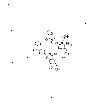 COc1cc2nc(N3CCN(C(=O)C4CCCO4)CC3)nc(N)c2cc1OC.COc1cc2nc(N3CCN(C(=O)C4CCCO4)CC3)nc(N)c2cc1OC.Cl.O.O.O.O